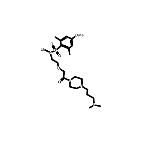 CCN(CCOCC(=O)N1CCN(CCCN(C)C)CC1)S(=O)(=O)c1c(C)cc(OC)cc1C